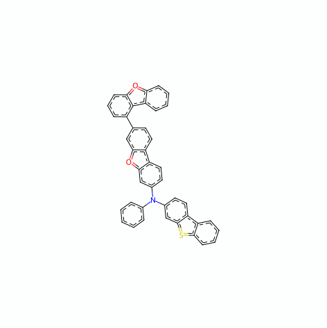 c1ccc(N(c2ccc3c(c2)oc2cc(-c4cccc5oc6ccccc6c45)ccc23)c2ccc3c(c2)sc2ccccc23)cc1